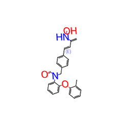 C=C(/C=C/c1ccc(CN(C=O)c2ccccc2Oc2ccccc2C)cc1)NO